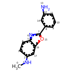 CNc1ccc2nc(-c3cccc(N)c3)oc2c1